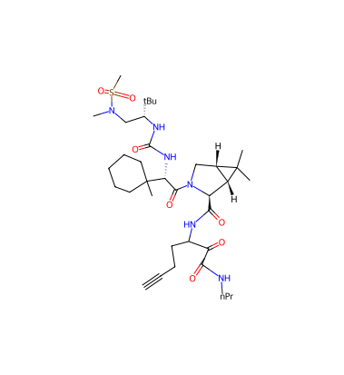 C#CCCC(NC(=O)[C@@H]1[C@@H]2[C@H](CN1C(=O)[C@@H](NC(=O)N[C@H](CN(C)S(C)(=O)=O)C(C)(C)C)C1(C)CCCCC1)C2(C)C)C(=O)C(=O)NCCC